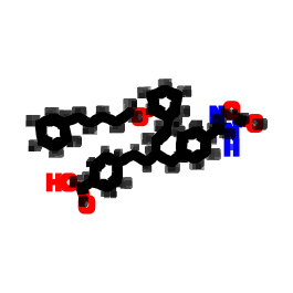 O=C(O)c1ccc(CCC(/C=C/c2ccccc2OCCCCCc2ccccc2)Cc2ccc(-c3noc(=O)[nH]3)cc2)cc1